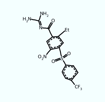 CCc1cc(S(=O)(=O)c2ccc(C(F)(F)F)cc2)c([N+](=O)[O-])cc1C(=O)N=C(N)N